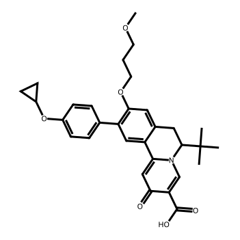 COCCCOc1cc2c(cc1-c1ccc(OC3CC3)cc1)-c1cc(=O)c(C(=O)O)cn1C(C(C)(C)C)C2